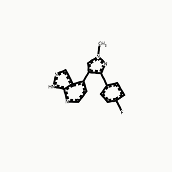 Cn1cc(-c2ccnc3[nH]ncc23)c(-c2ccc(F)cc2)n1